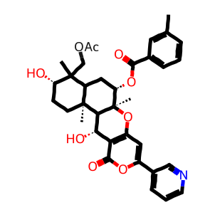 CC(=O)OCC1(C)C2C[C@H](OC(=O)c3cccc(C)c3)[C@@]3(C)Oc4cc(-c5cccnc5)oc(=O)c4[C@H](O)C3[C@@]2(C)CC[C@@H]1O